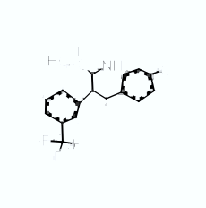 CC(N)C(Cc1ccc(Cl)cc1)c1cccc(C(F)(F)F)c1.Cl